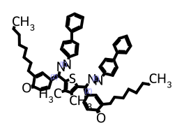 CCCCCCCCC1=C/C(=C(\N=N\c2ccc(-c3ccccc3)cc2)c2sc(C(/N=N/c3ccc(-c4ccccc4)cc3)=C3\C=CC(=O)C(CCCCCCCC)=C3)c(C)c2C)C=CC1=O